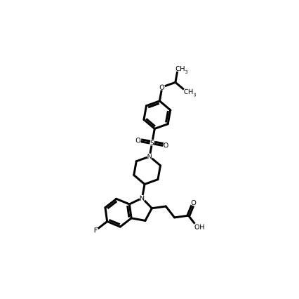 CC(C)Oc1ccc(S(=O)(=O)N2CCC(N3c4ccc(F)cc4CC3CCC(=O)O)CC2)cc1